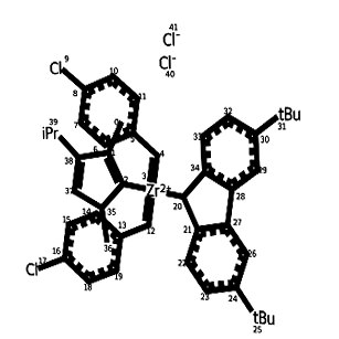 CC1=[C]([Zr+2](=[CH]c2ccc(Cl)cc2)(=[CH]c2ccc(Cl)cc2)[CH]2c3ccc(C(C)(C)C)cc3-c3cc(C(C)(C)C)ccc32)C(C)C=C1C(C)C.[Cl-].[Cl-]